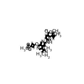 CC[C@@](C)(N)c1cnc(O[C@H]2C[C@@H](S(C)(=O)=O)C2)c2cnc(Nc3ccc4c(n3)C3(CC3)C(C)(C)OC4=O)cc12